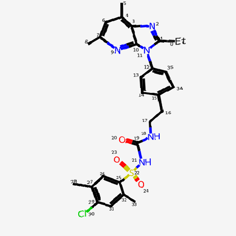 CCc1nc2c(C)cc(C)nc2n1-c1ccc(CCNC(=O)NS(=O)(=O)c2cc(C)c(Cl)cc2C)cc1